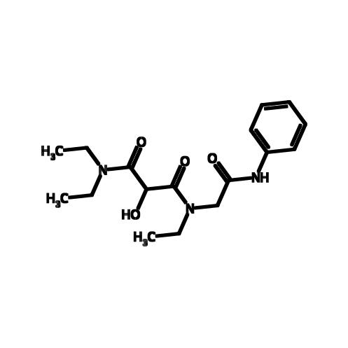 CCN(CC)C(=O)C(O)C(=O)N(CC)CC(=O)Nc1ccccc1